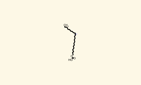 CCCCCCCC/C=C\CCCCCCCCCCCCOC(=O)O